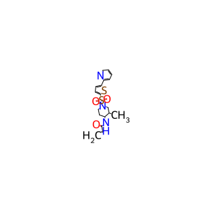 C=CC(=O)NC1CCN(S(=O)(=O)c2ccc(-c3ccccn3)s2)CC1C